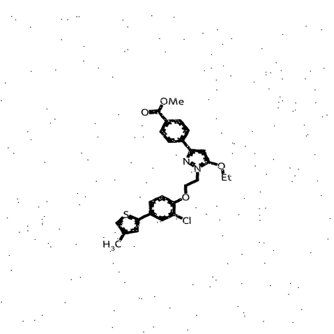 CCOc1cc(-c2ccc(C(=O)OC)cc2)nn1CCOc1ccc(-c2cc(C)cs2)cc1Cl